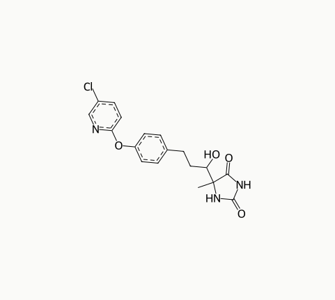 CC1(C(O)CCc2ccc(Oc3ccc(Cl)cn3)cc2)NC(=O)NC1=O